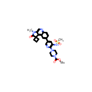 CN1C(=O)C2(CCC2)c2c1cnc1ccc(-c3cnc(N4CCN(C(=O)OC(C)(C)C)CC4)c(NS(C)(=O)=O)c3)cc21